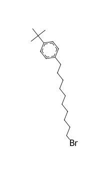 CC(C)(C)c1ccc(CCCCCCCCCCBr)cc1